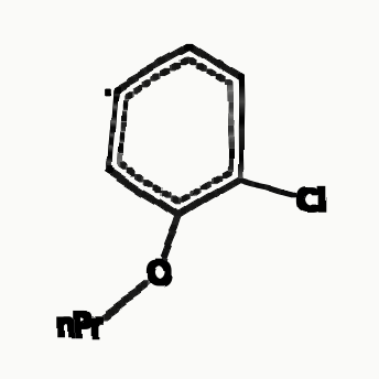 CCCOc1c[c]ccc1Cl